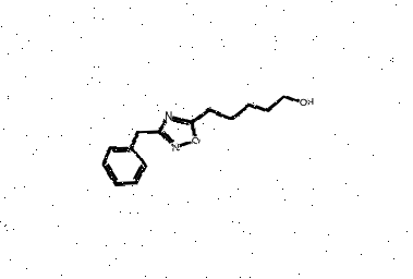 OCCCCCc1nc(Cc2ccccc2)no1